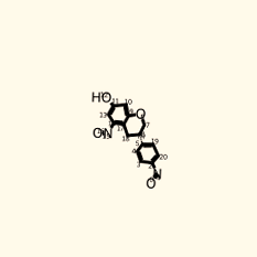 O=Nc1ccc([C@H]2COc3cc(O)cc(N=O)c3C2)cc1